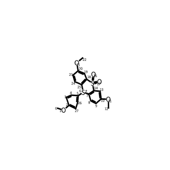 COc1ccc([S+]2c3ccc(OC)cc3S(=O)(=O)c3cc(OC)ccc32)cc1